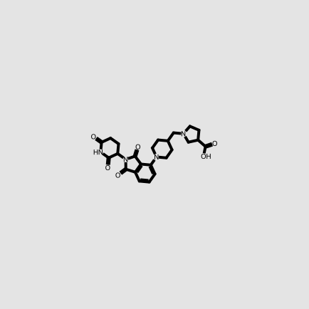 O=C1CCC(N2C(=O)c3cccc(N4CCC(CN5CCC(C(=O)O)C5)CC4)c3C2=O)C(=O)N1